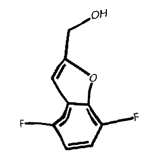 OCc1cc2c(F)ccc(F)c2o1